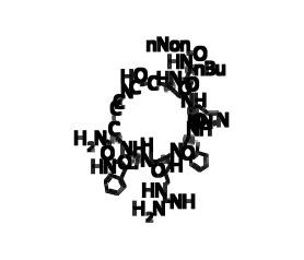 CCCCCCCCCC(=O)N[C@@H](CCCC)C(=O)N[C@H]1CCC(=O)CNCCCC[C@@H](C(N)=O)NC(=O)[C@H](Cc2c[nH]c3ccccc23)NC(=O)[C@H](CCCNC(=N)N)NC(=O)[C@@H](Cc2ccccc2)NC(=O)[C@H](Cc2cnc[nH]2)NC1=O